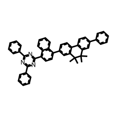 CC1(C)c2cc(-c3ccccc3)ccc2-c2ccc(-c3ccc(-c4nc(-c5ccccc5)nc(-c5ccccc5)n4)c4ccccc34)cc2C1(C)C